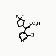 O=C(O)C=C(c1ccncc1Cl)C1CCC(F)(F)C1